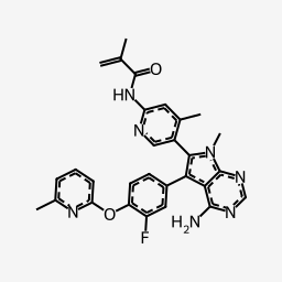 C=C(C)C(=O)Nc1cc(C)c(-c2c(-c3ccc(Oc4cccc(C)n4)c(F)c3)c3c(N)ncnc3n2C)cn1